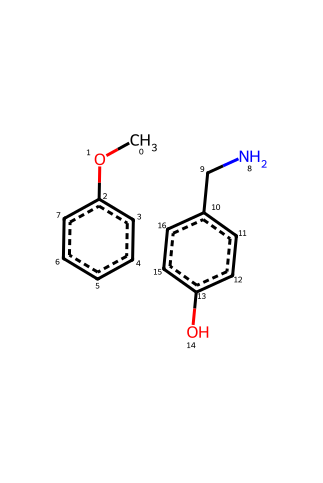 COc1ccccc1.NCc1ccc(O)cc1